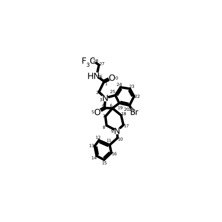 O=C(CN1C(=O)C2(CCN(Cc3ccccc3)CC2)c2c(Br)cccc21)NCC(F)(F)F